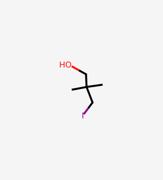 CC(C)(CO)CI